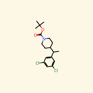 CC(c1cc(Cl)cc(Cl)c1)C1CCN(C(=O)OC(C)(C)C)CC1